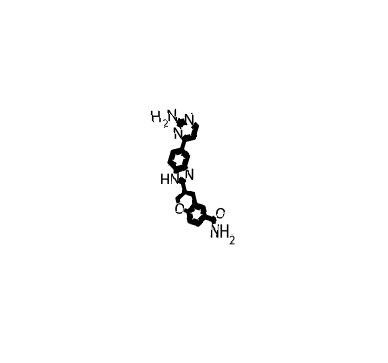 NC(=O)c1ccc2c(c1)CC(c1nc3cc(-c4ccnc(N)n4)ccc3[nH]1)CO2